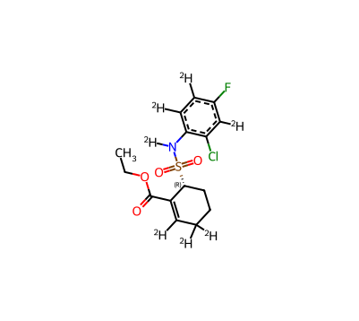 [2H]C1=C(C(=O)OCC)[C@H](S(=O)(=O)N([2H])c2c([2H])c([2H])c(F)c([2H])c2Cl)CCC1([2H])[2H]